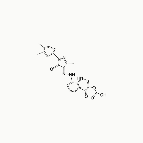 CC1=NN(c2ccc(C)c(C)c2)C(=O)C1=NNc1cccc2c(=O)c(OC(=O)O)c[nH]c12